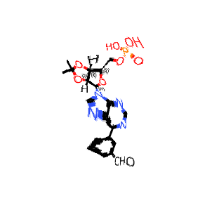 CC1(C)O[C@@H]2[C@H](O1)[C@@H](COP(=O)(O)O)O[C@H]2n1cnc2c(-c3cccc(C=O)c3)ncnc21